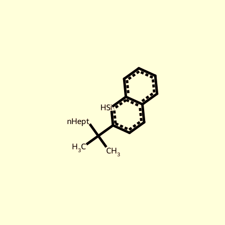 CCCCCCCC(C)(C)c1ccc2ccccc2[siH]1